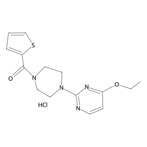 CCOc1ccnc(N2CCN(C(=O)c3cccs3)CC2)n1.Cl